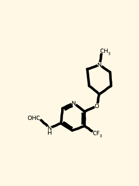 CN1CCC(Oc2ncc(NC=O)cc2C(F)(F)F)CC1